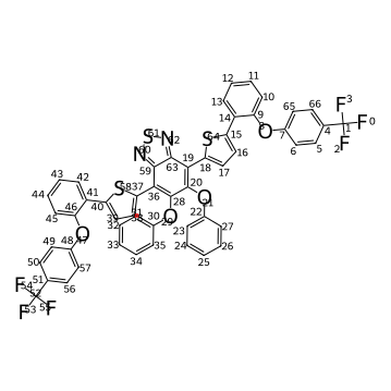 FC(F)(F)c1ccc(Oc2ccccc2-c2ccc(-c3c(Oc4ccccc4)c(Oc4ccccc4)c(-c4ccc(-c5ccccc5Oc5ccc(C(F)(F)F)cc5)s4)c4nsnc34)s2)cc1